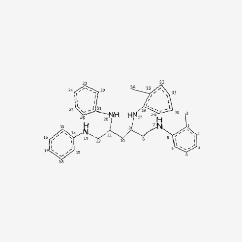 Cc1ccccc1NCC(CC(CNc1ccccc1)Nc1ccccc1)Nc1ccccc1C